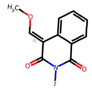 CO/C=C1/C(=O)N(I)C(=O)c2ccccc21